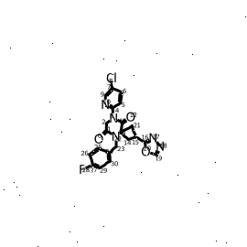 O=C1CN(c2ccc(Cl)cn2)C(=O)C2(CC(c3nnco3)C2)N1Cc1ccc(F)cc1